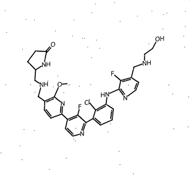 COc1nc(-c2ccnc(-c3cccc(Nc4nccc(CNCCO)c4F)c3Cl)c2F)ccc1CNCC1CCC(=O)N1